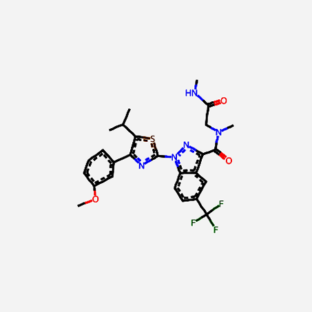 CNC(=O)CN(C)C(=O)c1nn(-c2nc(-c3cccc(OC)c3)c(C(C)C)s2)c2ccc(C(F)(F)F)cc12